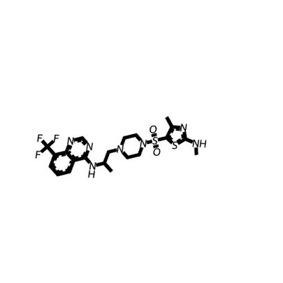 CNc1nc(C)c(S(=O)(=O)N2CCN(CC(C)Nc3ncnc4c(C(F)(F)F)cccc34)CC2)s1